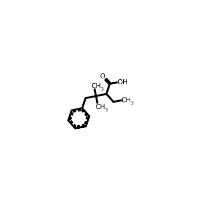 CCC(C(=O)O)C(C)(C)Cc1ccccc1